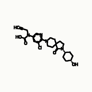 C#CCN(C(=O)O)c1cnc(N2CCC3(CC2)CCN([C@H]2CC[C@@H](O)CC2)C3=O)c(Cl)c1